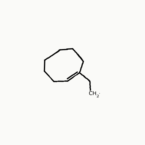 [CH2]CC1=CCCCCCC1